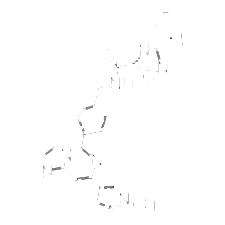 Cn1cc(-c2cc3nccn3c(-c3ccc(CNC(=O)c4nc(C5(CF)CC5)no4)cc3)n2)cn1